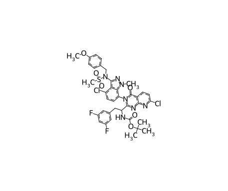 COc1ccc(CN(c2nn(C)c3c(-n4c(C(Cc5cc(F)cc(F)c5)NC(=O)OC(C)(C)C)nc5nc(Cl)ccc5c4=O)ccc(Cl)c23)S(C)(=O)=O)cc1